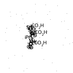 CC(C)C(/C=C1\Sc2cc3c(cc2N1CC(=O)O)OCO3)=c1\s/c(=C2\SC(=S)N(CC(=O)O)C2=O)n(CC(=O)O)c1=O